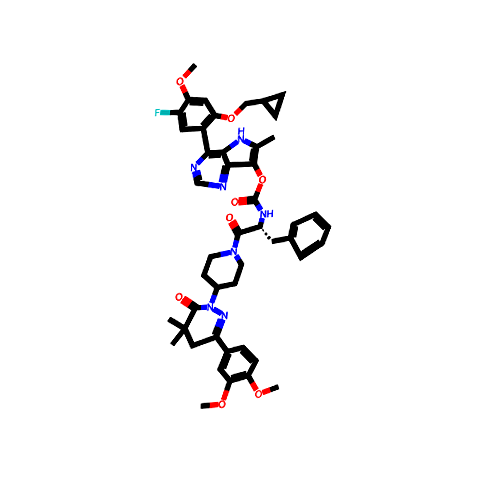 COc1cc(OCC2CC2)c(-c2ncnc3c(OC(=O)N[C@H](Cc4ccccc4)C(=O)N4CCC(N5N=C(c6ccc(OC)c(OC)c6)CC(C)(C)C5=O)CC4)c(C)[nH]c23)cc1F